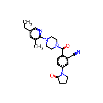 CCc1cnc(N2CCN(C(=O)c3ccc(N4CCCC4=O)cc3C#N)CC2)c(C)c1